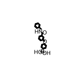 O=C(NCc1ccccc1)c1cccc(Oc2ccc(B(O)O)cc2)c1